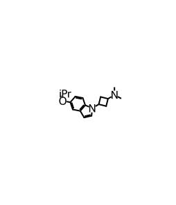 CC(C)Oc1ccc2c(ccn2C2CC(N(C)C)C2)c1